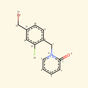 O=c1ccccn1Cc1ccc(CBr)cc1F